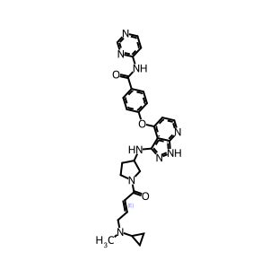 CN(C/C=C/C(=O)N1CCC(Nc2n[nH]c3nccc(Oc4ccc(C(=O)Nc5ccncn5)cc4)c23)C1)C1CC1